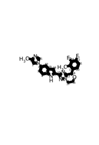 Cc1cn(-c2ccc3[nH]c(-c4nc5n(n4)CCOC5c4ccc(F)c(F)c4C)cc3c2)cn1